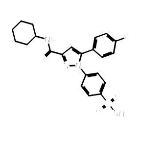 NS(=O)(=O)c1ccc(-n2nc(C(=O)NC3CCCCC3)cc2-c2ccc(F)cc2)cc1